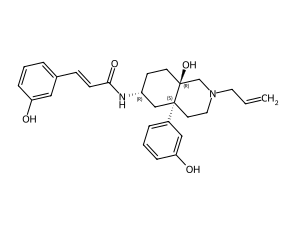 C=CCN1CC[C@@]2(c3cccc(O)c3)C[C@H](NC(=O)C=Cc3cccc(O)c3)CC[C@]2(O)C1